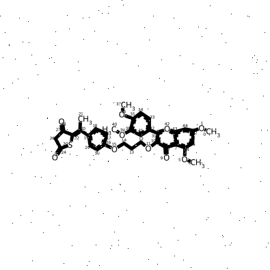 COc1cc(OC)c2c(=O)c(OCCCOc3ccc(/C(C)=C4\SC(=O)CC4=O)cc3)c(-c3ccc(OC)c(OC)c3)oc2c1